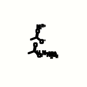 CC(=O)[O-].CC(=O)[O-].NN.O.[Ni+2]